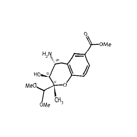 COC(=O)c1ccc2c(c1)[C@@H](N)[C@H](O)[C@@](C)(C(OC)OC)O2